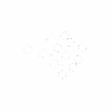 CC1(C)c2ccccc2-c2ccc(N(c3ccc(-c4ccccc4)cc3)c3cccc4c3-c3cc5c(cc3C4(c3ccccc3)c3ccccc3)C(c3ccccc3)(c3ccccc3)c3ccccc3-5)cc21